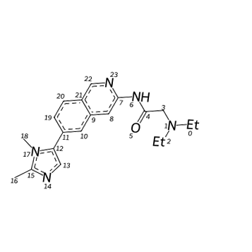 CCN(CC)CC(=O)Nc1cc2cc(-c3cnc(C)n3C)ccc2cn1